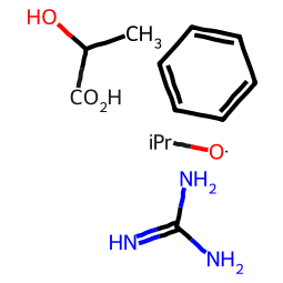 CC(C)[O].CC(O)C(=O)O.N=C(N)N.c1ccccc1